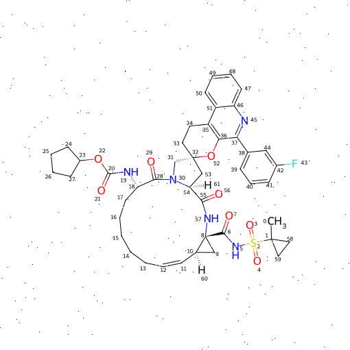 CC1(S(=O)(=O)NC(=O)[C@@]23C[C@H]2/C=C\CCCCC[C@H](NC(=O)OC2CCCC2)C(=O)N2C[C@@]4(CCc5c(c(-c6cccc(F)c6)nc6ccccc56)O4)C[C@H]2C(=O)N3)CC1